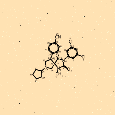 CN1C(=O)N(c2cc(Cl)cc(Cl)c2)C(=O)[C@]12CN(C1CCCC1)C[C@H]2c1ccc(C#N)cc1